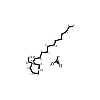 CC(=O)[O-].CCCCCCCCCCCC[N+]1(CC)CCCCC1